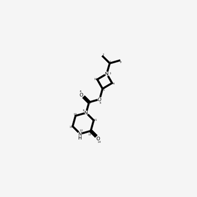 CC(C)N1CC(OC(=O)N2CCNC(=O)C2)C1